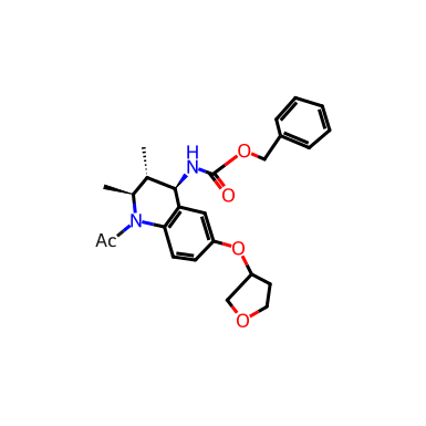 CC(=O)N1c2ccc(OC3CCOC3)cc2[C@H](NC(=O)OCc2ccccc2)[C@@H](C)[C@@H]1C